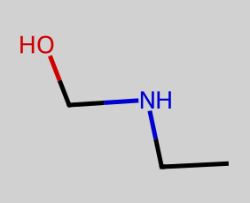 CCNCO